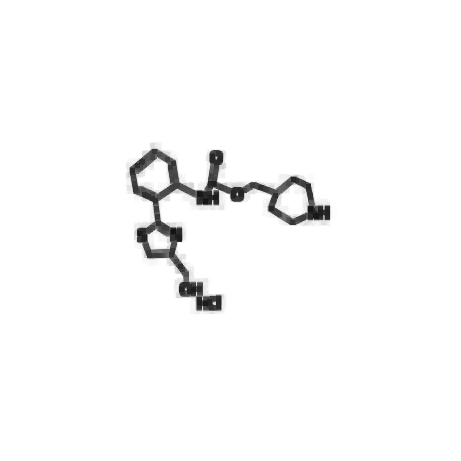 Cl.O=C(Nc1ccccc1-c1nc(CO)cs1)OCC1CCNCC1